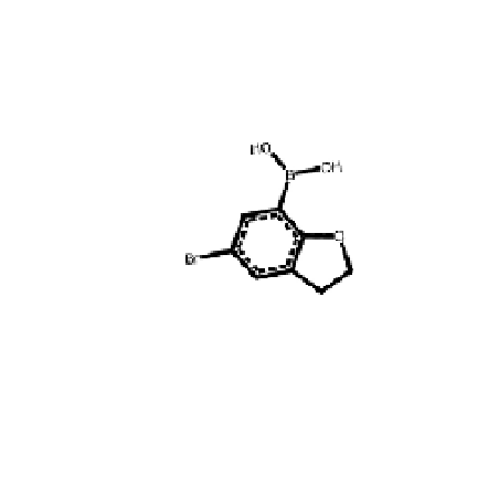 OB(O)c1cc(Br)cc2c1OCC2